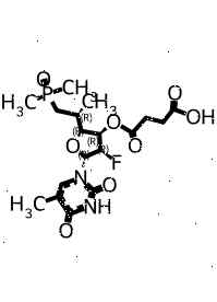 Cc1cn([C@@H]2O[C@H]([C@@H](C)CP(C)(C)=O)[C@@H](OC(=O)CCC(=O)O)[C@H]2F)c(=O)[nH]c1=O